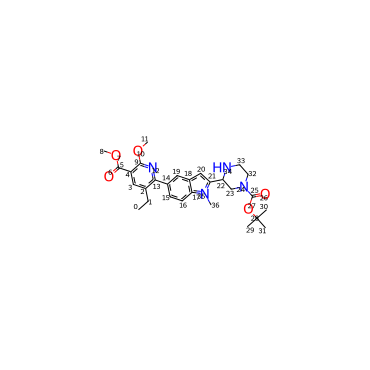 CCc1cc(C(=O)OC)c(OC)nc1-c1ccc2c(c1)cc(C1CN(C(=O)OC(C)(C)C)CCN1)n2C